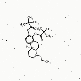 CCCN1CCC[C@H]2c3ccc(OC(=O)C(C)(C)C)c(OC(=O)C(C)(C)C)c3CCC21